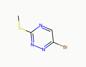 CSc1ncc(Br)nn1